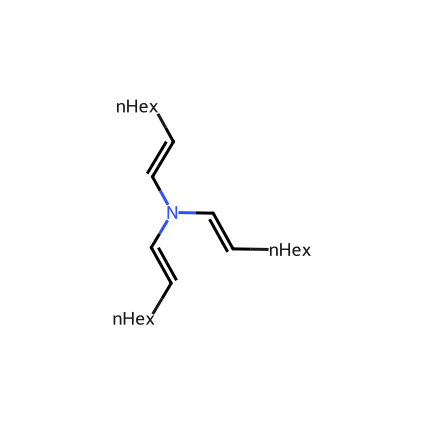 CCCCCCC=CN(C=CCCCCCC)C=CCCCCCC